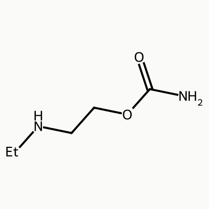 CCNCCOC(N)=O